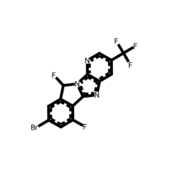 Fc1cc(Br)cc2c1-c1nc3cc(C(F)(F)F)cnc3n1C2F